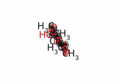 COc1ccc(C(C)(c2ccccc2)c2cc[c]([Co](=[O])[O]c3ccc(C(C)(CCCO)c4ccc(OC(C)=O)cc4)cc3)cc2)cc1